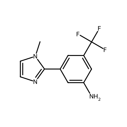 Cn1ccnc1-c1cc(N)cc(C(F)(F)F)c1